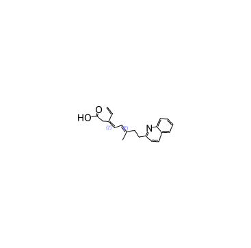 C=C/C(=C\C=C(/C)CCc1ccc2ccccc2n1)CC(=O)O